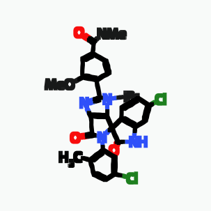 CNC(=O)c1ccc(-c2nc3c(n2C(C)C)C2(C(=O)Nc4cc(Cl)ccc42)N(c2cc(Cl)ccc2C)C3=O)c(OC)c1